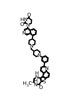 C[C@@H]1CNc2c(sc3ccc4nc(-c5cccc(N6CCC(CN7CCC(c8cccc9c(N%10CCC(=O)NC%10=O)cncc89)CC7)CC6)c5)ccc4c23)C(=O)N1